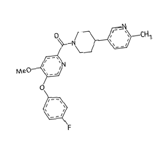 COc1cc(C(=O)N2CCC(c3ccc(C)nc3)CC2)ncc1Oc1ccc(F)cc1